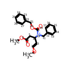 COC=CC(CC(=O)OC)N(Cc1ccccc1)C(=O)OCc1ccccc1